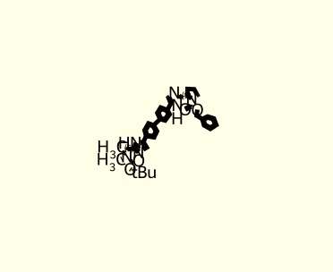 C[C@@H](c1ncc(-c2ccc(-c3ccc(-c4cnc([C@@H]5CCCN5C(=O)OCc5ccccc5)[nH]4)cc3)cc2)[nH]1)N(C)C(=O)OC(C)(C)C